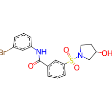 O=C(Nc1cccc(Br)c1)c1cccc(S(=O)(=O)N2CCC(O)C2)c1